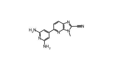 Cn1c(C#N)nc2ccc(-c3cc(N)nc(N)c3)nc21